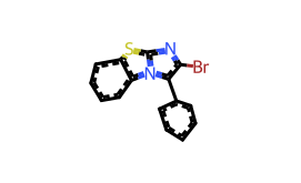 Brc1nc2sc3ccccc3n2c1-c1ccccc1